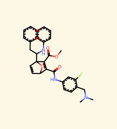 COC(=O)C1=C(C(=O)Nc2ccc(CN(C)C)c(F)c2)C2C=CC1(C(Cc1ccccc1)Nc1ccccc1)O2